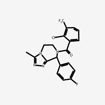 Cc1nnc2n1CCN(C(=O)c1cccc(C(F)(F)F)c1Cl)C2c1ccc(F)cc1